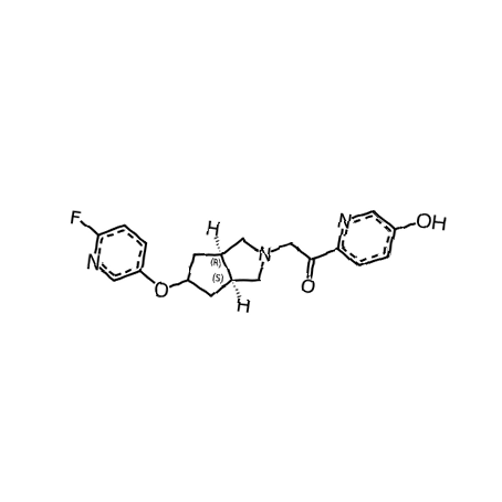 O=C(CN1C[C@H]2CC(Oc3ccc(F)nc3)C[C@H]2C1)c1ccc(O)cn1